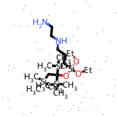 CCO[Si](CCCNCCN)(OCC)OC(C[Si](C)(C)C)([Si](C)(C)C)[Si](C)(C)C